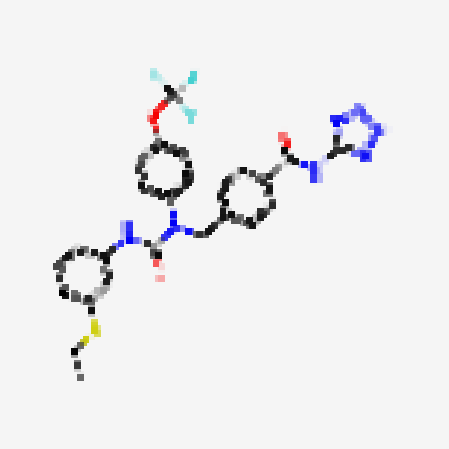 CCSc1cccc(NC(=O)N(Cc2ccc(C(=O)Nc3nn[nH]n3)cc2)c2ccc(OC(F)(F)F)cc2)c1